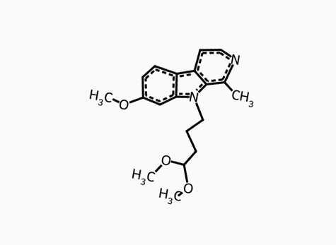 COc1ccc2c3ccnc(C)c3n(CCCC(OC)OC)c2c1